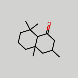 CC1CC(=O)C2C(C)(C)CCCC2(C)C1